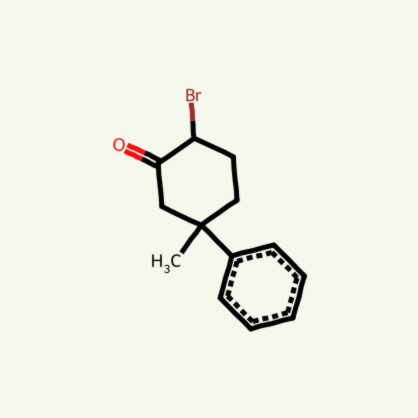 CC1(c2ccccc2)CCC(Br)C(=O)C1